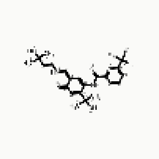 CC(C)(O)CCN/C=C1/C=C(NC(=O)c2cccc(C(F)(F)F)n2)C(C(C)(C)O)=CC1=N